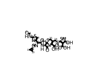 O=CNc1nc(C(=NOC2CC2)C(=O)N[C@@H]2C(=O)N3C(C(=O)O)=C(CSc4snc(O)c4C(=O)O)CS[C@@H]23)cs1